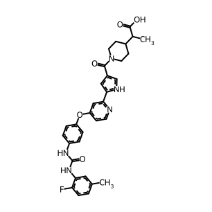 Cc1ccc(F)c(NC(=O)Nc2ccc(Oc3ccnc(-c4cc(C(=O)N5CCC(C(C)C(=O)O)CC5)c[nH]4)c3)cc2)c1